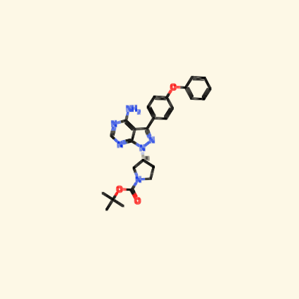 CC(C)(C)OC(=O)N1CC[C@@H](n2nc(-c3ccc(Oc4ccccc4)cc3)c3c(N)ncnc32)C1